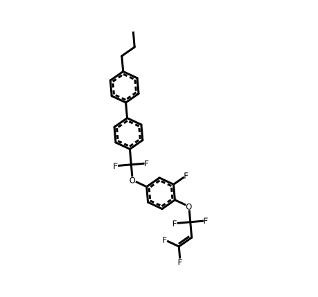 CCCc1ccc(-c2ccc(C(F)(F)Oc3ccc(OC(F)(F)C=C(F)F)c(F)c3)cc2)cc1